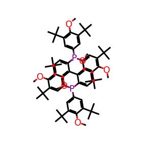 COc1cccc(P(c2cc(C(C)(C)C)c(OC)c(C(C)(C)C)c2)c2cc(C(C)(C)C)c(OC)c(C(C)(C)C)c2)c1-c1c(OC)cccc1P(c1cc(C(C)(C)C)c(OC)c(C(C)(C)C)c1)c1cc(C(C)(C)C)c(OC)c(C(C)(C)C)c1